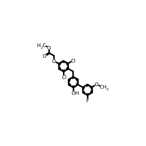 COC(=O)COc1cc(Cl)c(Cc2ccc(O)c(-c3cc(F)cc(OC)c3)c2)c(Cl)c1